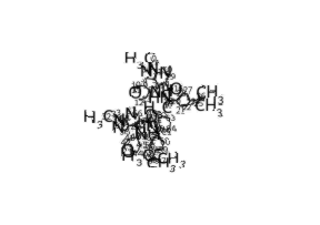 CCn1ncc2c(NC3CCOCC3)c(C(=O)NC(C)c3ccc(C(C)C)cc3)cnc21.CCn1ncc2c(NC3CCOCC3)c(C(=O)NC3(c4ccc(C(C)(C)C)cc4)CCCCC3)cnc21